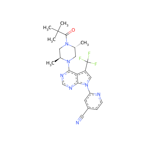 C[C@@H]1CN(c2ncnc3c2c(C(F)(F)F)cn3-c2cc(C#N)ccn2)[C@@H](C)CN1C(=O)C(C)(C)C